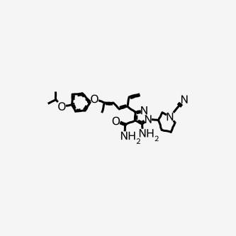 C=C/C(=C\C=C(/C)Oc1ccc(OC(C)C)cc1)c1nn(C2CCCN(C#N)C2)c(N)c1C(N)=O